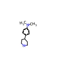 CN(C)c1ccc(C2CC[N]CC2)cc1